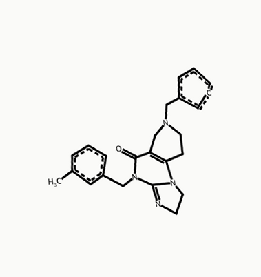 Cc1cccc(CN2C(=O)C3=C(CCN(Cc4ccccc4)C3)N3CCN=C23)c1